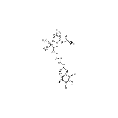 CC(=O)OCC1CC(OCCCCCC(=O)Oc2c(F)c(F)c(F)c(F)c2F)C(C)C(C)C1OC(C)=O